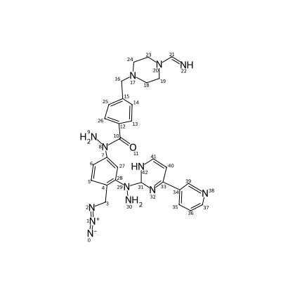 [N-]=[N+]=NCc1ccc(N(N)C(=O)c2ccc(CN3CCN(C=N)CC3)cc2)cc1N(N)C1N=C(c2cccnc2)C=CN1